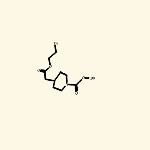 CC(C)(C)OC(=O)N1CCC(CC(=O)OCCS)CC1